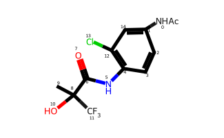 CC(=O)Nc1ccc(NC(=O)C(C)(O)C(F)(F)F)c(Cl)c1